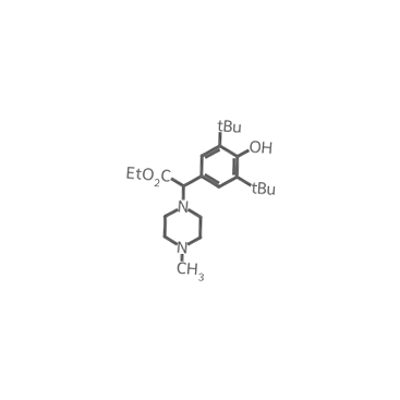 CCOC(=O)C(c1cc(C(C)(C)C)c(O)c(C(C)(C)C)c1)N1CCN(C)CC1